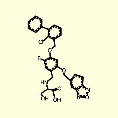 O=C(O)C(CO)NCc1cc(F)c(OCc2cccc(-c3ccccc3)c2Cl)cc1OCc1ccc2nonc2c1